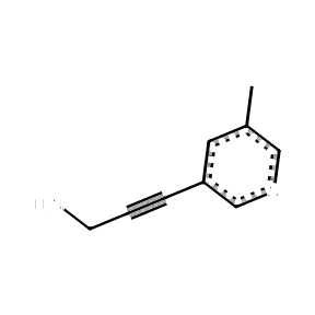 Cc1cncc(C#CCN)c1